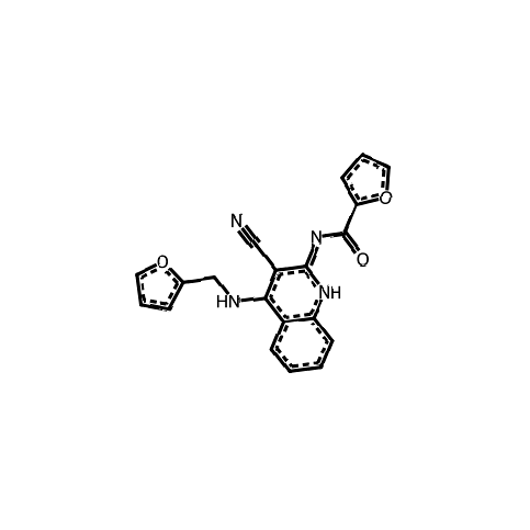 N#Cc1c(NCc2ccco2)c2ccccc2[nH]/c1=N\C(=O)c1ccco1